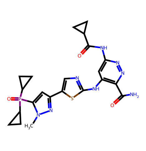 Cn1nc(-c2cnc(Nc3cc(NC(=O)C4CC4)nnc3C(N)=O)s2)cc1P(=O)(C1CC1)C1CC1